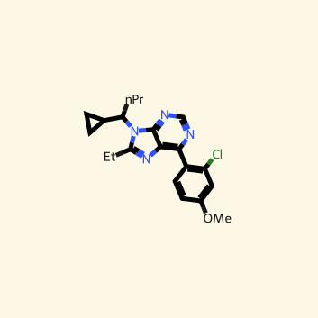 CCCC(C1CC1)n1c(CC)nc2c(-c3ccc(OC)cc3Cl)ncnc21